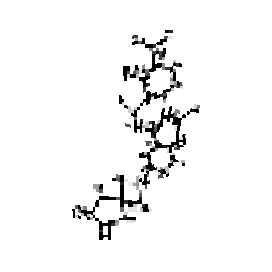 Cc1nc(N[C@H](C)c2cccc(C(F)F)c2F)c2cc(N3CC4(CNC(=O)C4)C3)ncc2n1